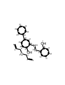 C=CCOCC=C.Oc1ccccc1N=Nc1cc(-c2ccccc2)ccc1O